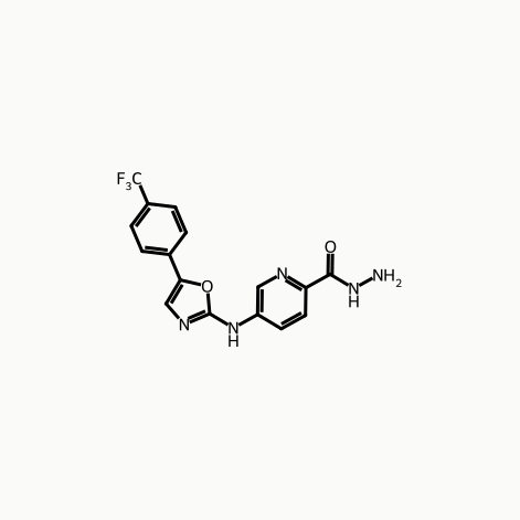 NNC(=O)c1ccc(Nc2ncc(-c3ccc(C(F)(F)F)cc3)o2)cn1